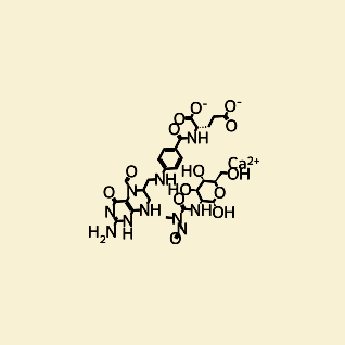 CN(N=O)C(=O)N[C@@H]1[C@@H](O)[C@H](O)[C@@H](CO)O[C@@H]1O.Nc1nc(=O)c2c([nH]1)NCC(CNc1ccc(C(=O)N[C@@H](CCC(=O)[O-])C(=O)[O-])cc1)N2C=O.[Ca+2]